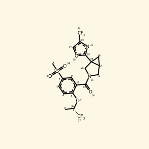 C[C@H](Oc1ccc(S(C)(=O)=O)cc1C(=O)N1CC2CC2(c2nc(C(F)(F)F)co2)C1)C(F)(F)F